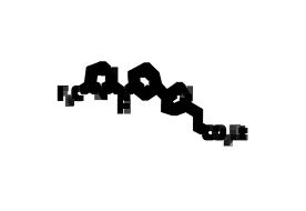 CCOC(=O)CCc1ccc(-c2cccc(Nc3nccc(C(F)(F)F)n3)c2)cn1